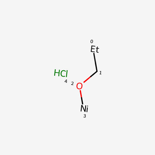 CCC[O][Ni].Cl